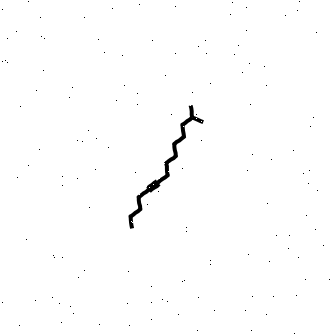 CCCCC#CCCCCCC[C](C)C